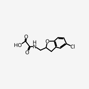 O=C(O)C(=O)NCC1Cc2cc(Cl)ccc2O1